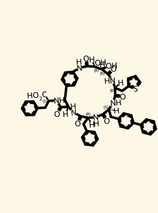 O=C(O)[C@H](Cc1ccccc1)NC(=O)[C@@H]1Cc2ccc(cc2)NC(=O)[C@H](O)[C@@H](O)C(=O)N[C@H](Cc2cccs2)C(=O)N[C@@H](Cc2ccc(-c3ccccc3)cc2)C(=O)N[C@H](Cc2ccccc2)C(=O)N1